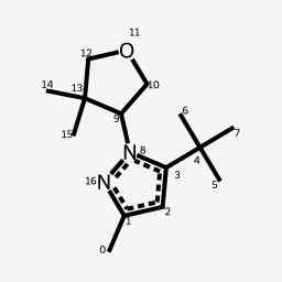 Cc1cc(C(C)(C)C)n(C2COCC2(C)C)n1